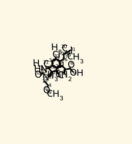 C=C(/C=C\C(=C/C)C(=O)O)C1=CN(CCOC)C(=O)N[C@@]1(C)c1ccc(CCC(C)(C)I)c(Cl)c1